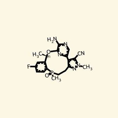 C[C@H]1Oc2nc(cnc2N)-c2c(nn(C)c2C#N)CCP(C)(=O)c2ccc(F)cc21